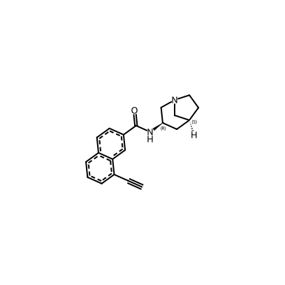 C#Cc1cccc2ccc(C(=O)N[C@@H]3C[C@@H]4CCN(C4)C3)cc12